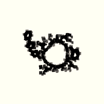 CC(C)C[C@H]1CO[C@H](C)CN(C)[C@@H](CC(C)C)CO[C@H](Cc2ccccc2)CN(C)[C@@H](CC(C)C)CO[C@H](C)CN(C)[C@@H](CC(C)C)CO[C@H](Cc2ccc(Cn3cc(-c4cnccn4)cn3)cc2)CN1C